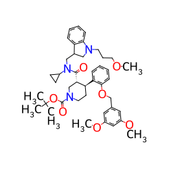 COCCCN1CC(CN(C(=O)[C@H]2CN(C(=O)OC(C)(C)C)CC[C@@H]2c2ccccc2OCc2cc(OC)cc(OC)c2)C2CC2)c2ccccc21